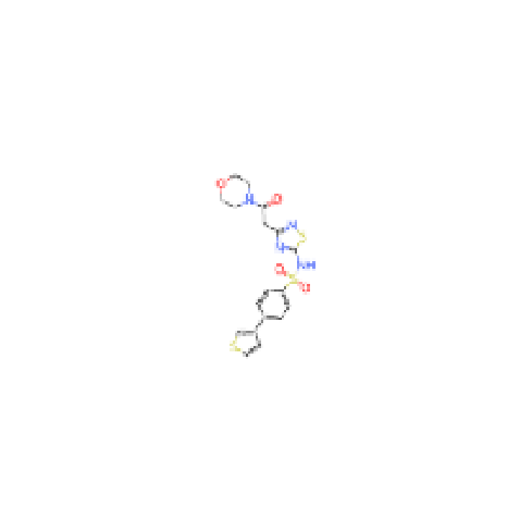 O=C(Cc1nsc(NS(=O)(=O)c2ccc(-c3ccsc3)cc2)n1)N1CCOCC1